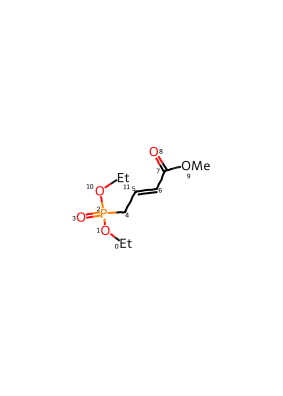 CCOP(=O)(CC=CC(=O)OC)OCC